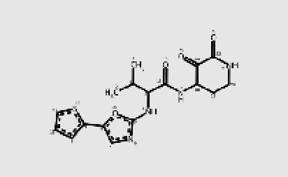 CC(C)C(Nc1ncc(-c2cccs2)o1)C(=O)NC1CCNC(=O)C1=O